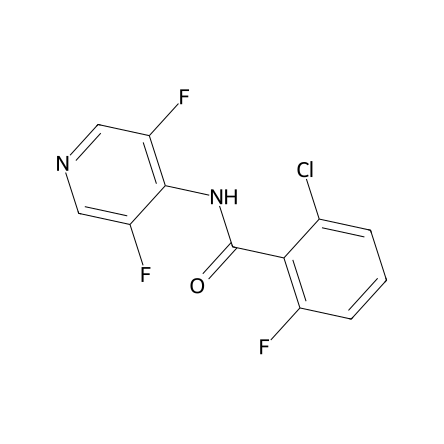 O=C(Nc1c(F)cncc1F)c1c(F)cccc1Cl